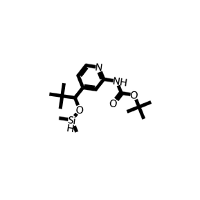 C[SiH](C)OC(c1ccnc(NC(=O)OC(C)(C)C)c1)C(C)(C)C